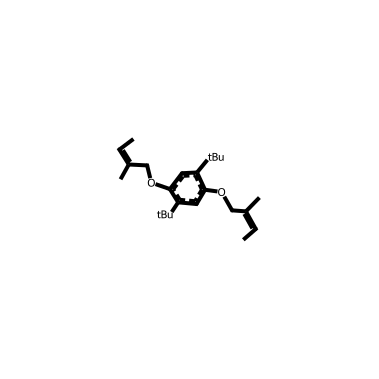 C/C=C(/C)COc1cc(C(C)(C)C)c(OC/C(C)=C\C)cc1C(C)(C)C